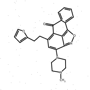 CN1CCN(c2cc(CCc3ccco3)c3c4c(onc24)-c2ccccc2C3=O)CC1